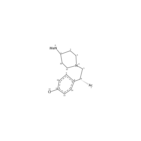 CNC1CCN(C[C@H](C(C)=O)c2ccc(Cl)cc2)CC1